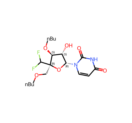 CCCCOC[C@@]1(C(F)F)O[C@@H](n2ccc(=O)[nH]c2=O)[C@@H](O)[C@@H]1OCCCC